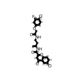 C=C(CCNC(=O)COc1ccc(Cl)c(F)c1)NC(=O)c1cc(=O)c2cc(Cl)ccc2o1